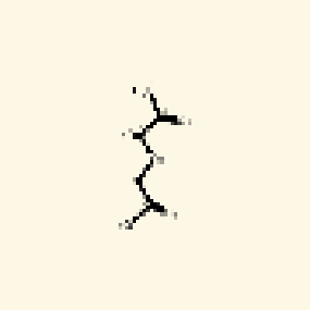 CC(=O)C(=O)OCC([O])=O